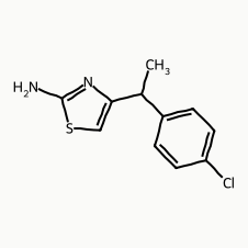 CC(c1ccc(Cl)cc1)c1csc(N)n1